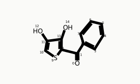 O=C(c1ccccc1)c1scc(O)c1O